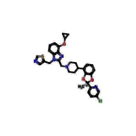 C[C@@]1(c2ccc(Cl)cn2)Oc2cccc(C3CCN(Cc4nc5c(OC6CC6)cccc5n4Cc4cncs4)CC3)c2O1